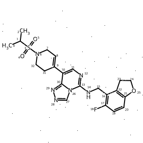 CC(C)S(=O)(=O)N1CC=C(c2cnc(NCc3c(F)ccc4c3CCO4)n3cnnc23)CC1